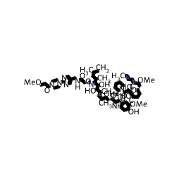 C=C[C@@H](C)C[C@@H](C)/C(=N\OCC(=O)NCc1cnc(N2CCN(C(=O)CCOC)CC2)nc1)[C@H](O)[C@H](O)/C(C)=C/[C@@H](C)[C@H](O)C[C@H](OC(=O)[C@@H]1CCCCN1C(=O)C(=O)[C@]1(O)O[C@H](C[C@H](OC)/C(C)=C/C=C/C)CC[C@H]1C)[C@H](N)C[C@@H]1CC[C@@H](O)[C@H](OC)C1